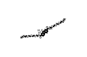 [CH2]C1c2cc(C(=O)NCCOCCOCCOCCN=[N+]=[N-])ccc2-c2ccc(C(=O)NCCOCCOCCOCCN=[N+]=[N-])cc21